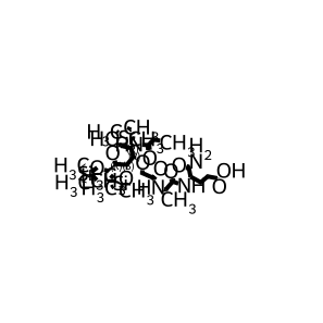 CCC(=O)N[C@@H]1[C@@H](OCC(=O)NC(C)C(=O)NC(CCC(=O)O)C(N)=O)[C@H](O[Si](C)(C)C)[C@@H](CO[Si](C)(C)C)OC1(O)[Si](C)(C)C